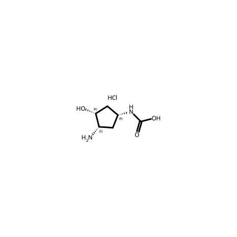 Cl.N[C@H]1C[C@@H](NC(=O)O)C[C@H]1O